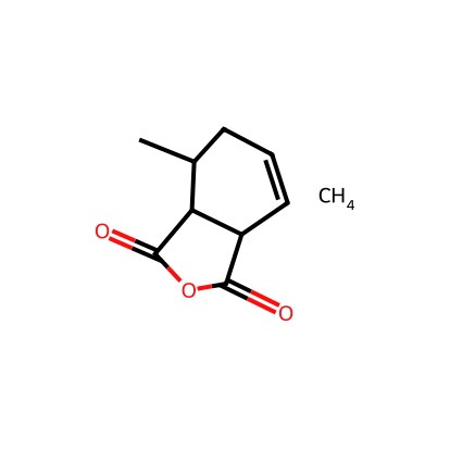 C.CC1CC=CC2C(=O)OC(=O)C12